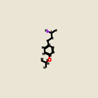 CC(I)CCc1ccc(OC(C)C)cc1